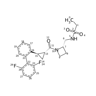 CCS(=O)(=O)NC[C@@H]1CCN1C(=O)[C@@H]1C[C@H]1c1ccccc1-c1c(F)cccc1F